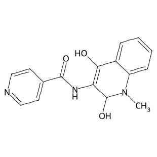 CN1c2ccccc2C(O)=C(NC(=O)c2ccncc2)C1O